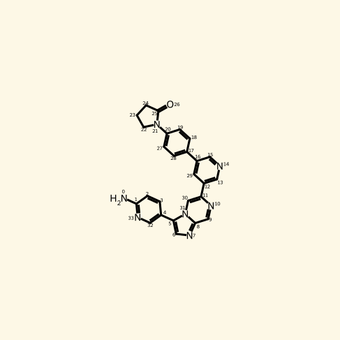 Nc1ccc(-c2cnc3cnc(-c4cncc(-c5ccc(N6CCCC6=O)cc5)c4)cn23)cn1